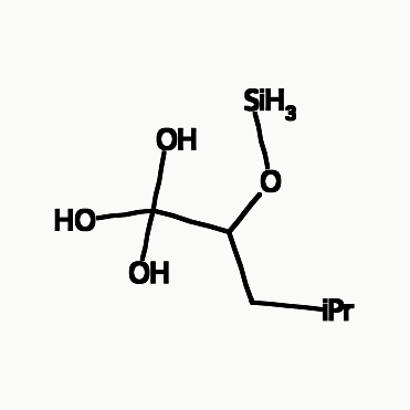 CC(C)CC(O[SiH3])C(O)(O)O